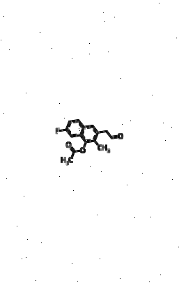 CC(=O)Oc1c(C)c(CC=O)cc2ccc(F)cc12